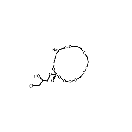 O=P1(OCC(O)CCl)OCCCCCCCCCCCCCCOOOO1.[Na]